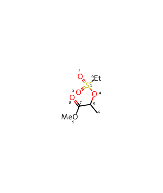 CCS(=O)(=O)OC(C)C(=O)OC